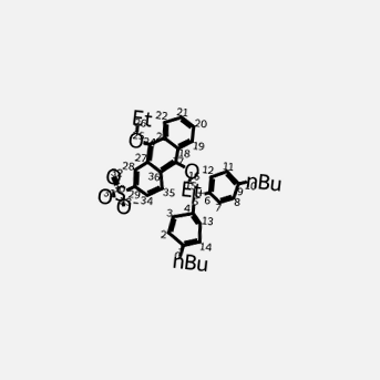 CCCCc1ccc([I+]c2ccc(CCCC)cc2)cc1.CCOc1c2ccccc2c(OCC)c2cc(S(=O)(=O)[O-])ccc12